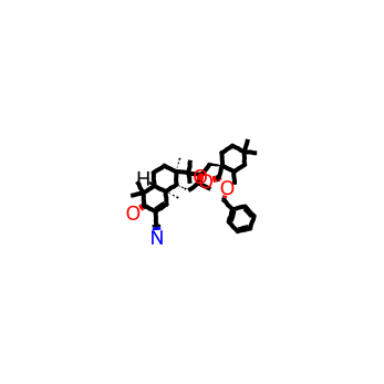 CC(=O)C[C@@H]1[C@@]2(C)C=C(C#N)C(=O)C(C)(C)[C@@H]2CC[C@@]1(C)C(C)(C)CC[C@@]1(C(=O)OCc2ccccc2)CCC(C)(C)CC1C